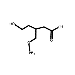 O=C(O)CC(CCO)COP